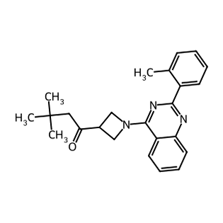 Cc1ccccc1-c1nc(N2CC(C(=O)CC(C)(C)C)C2)c2ccccc2n1